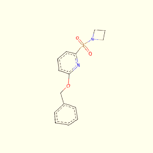 O=S(=O)(c1cccc(OCc2ccccc2)n1)N1CCC1